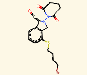 O=C=C1c2cccc(SCCCCBr)c2CN1N1C(=O)CCCC1=O